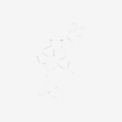 CC(C)(C)OC(=O)NC(Cc1cc(F)cc(F)c1)c1nc2c(cc1Br)ncn2COCC[Si](C)(C)C